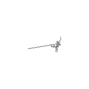 CCCCCCCCCCCCCCCCSCC(CNS(=O)(=O)CCCI)NC(=O)NC